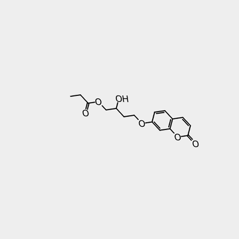 CCC(=O)OCC(O)CCOc1ccc2ccc(=O)oc2c1